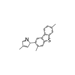 CC1=CC(c2cc3c(cc2C)sc2cc(C)ccc23)N=C1